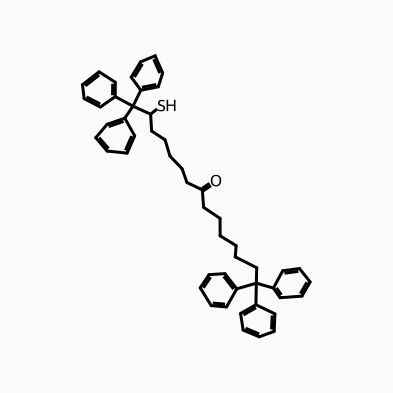 O=C(CCCCCCC(c1ccccc1)(c1ccccc1)c1ccccc1)CCCCCC(S)C(c1ccccc1)(c1ccccc1)c1ccccc1